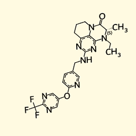 CCN1c2nc(NCc3ccc(Oc4cnc(C(F)(F)F)nc4)nc3)nc3c2N(CCC3)C(=O)[C@@H]1C